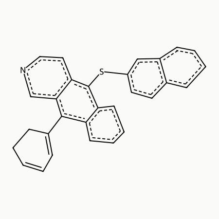 C1=CCCC(c2c3ccccc3c(Sc3ccc4ccccc4c3)c3ccncc23)=C1